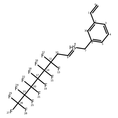 C=Cc1cccc(C[SH]=CCC(F)(F)C(F)(F)C(F)(F)C(F)(F)C(F)(F)C(F)(F)F)c1